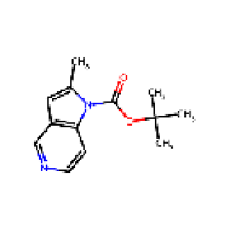 Cc1cc2cnccc2n1C(=O)OC(C)(C)C